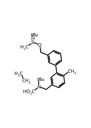 CC.Cc1ccc(CN(C(=O)O)C(C)(C)C)cc1-c1cccc(CO[SiH](C)C(C)(C)C)c1